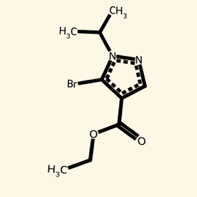 CCOC(=O)c1cnn(C(C)C)c1Br